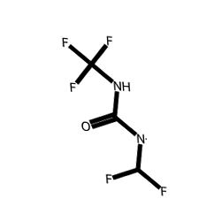 O=C([N]C(F)F)NC(F)(F)F